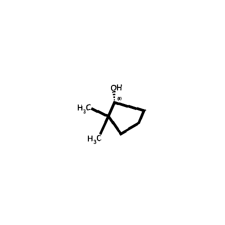 CC1(C)CCC[C@H]1O